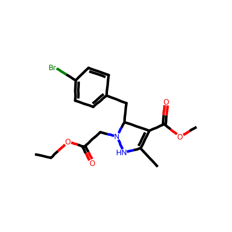 CCOC(=O)CN1NC(C)=C(C(=O)OC)C1Cc1ccc(Br)cc1